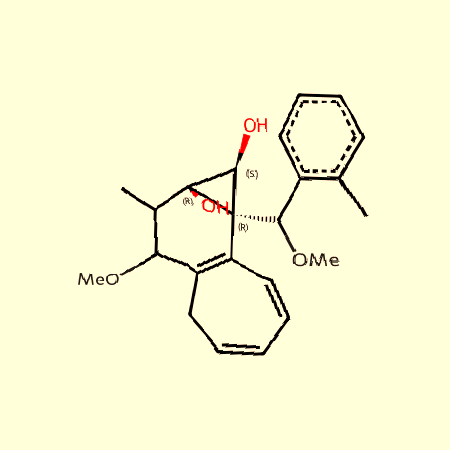 COC1C2=C(C=CC=CC2)[C@]2(C(OC)c3ccccc3C)[C@H](O)[C@@]2(O)C1C